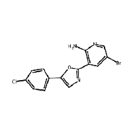 Nc1ncc(Br)cc1-c1ncc(-c2ccc(Cl)cc2)o1